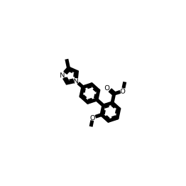 COC(=O)c1cccc(OC)c1-c1ccc(-n2cnc(C)c2)cc1